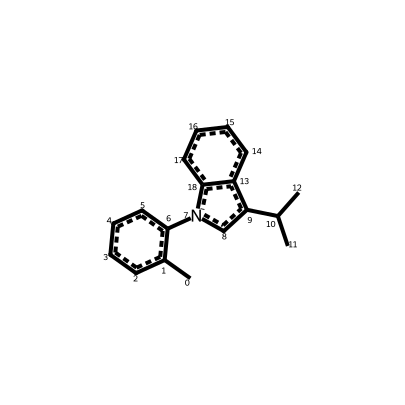 Cc1ccccc1-n1cc(C(C)C)c2ccccc21